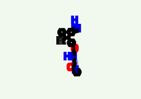 CCC(=C(c1ccc(OCCNC/C=C/C(=O)N2CCCCC2)cc1)c1ccc2[nH]ncc2c1)c1ccccc1